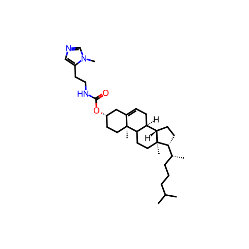 CC(C)CCC[C@@H](C)[C@H]1CC[C@H]2[C@@H]3CC=C4C[C@@H](OC(=O)NCCc5cncn5C)CC[C@]4(C)C3CC[C@]12C